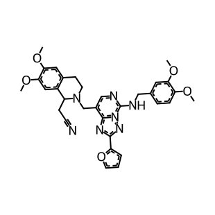 COc1ccc(CNc2ncc(CN3CCc4cc(OC)c(OC)cc4C3CC#N)c3nc(-c4ccco4)nn23)cc1OC